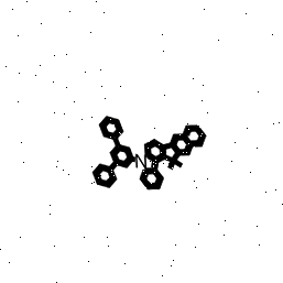 CC1(C)c2cc3ccccc3cc2-c2ccc3c(c21)c1ccccc1n3-c1cc(-c2ccccc2)cc(-c2ccccc2)c1